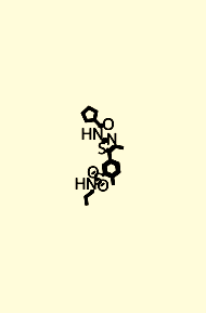 CCCNS(=O)(=O)c1cc(-c2sc(NC(=O)C3CCCC3)nc2C)ccc1C